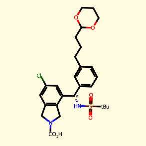 CC(C)(C)S(=O)(=O)N[C@@H](c1cccc(CCCC2OCCCO2)c1)c1cc(Cl)cc2c1CN(C(=O)O)C2